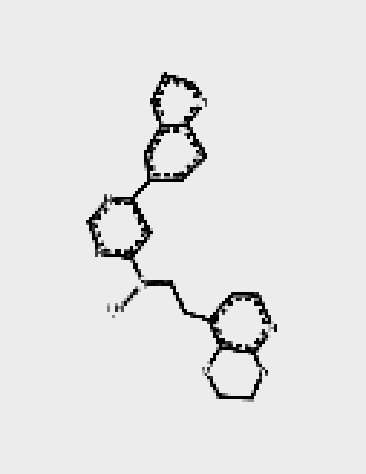 NN(CCc1ccnc2c1OCCO2)c1cc(-c2ccc3ncccc3c2)ncn1